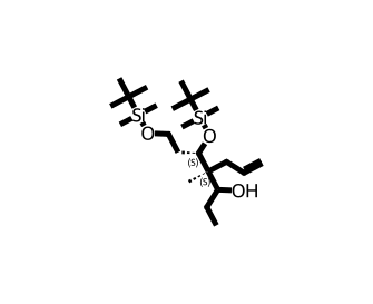 C=CC[C@@](C)(C(O)CC)[C@H](CCO[Si](C)(C)C(C)(C)C)O[Si](C)(C)C(C)(C)C